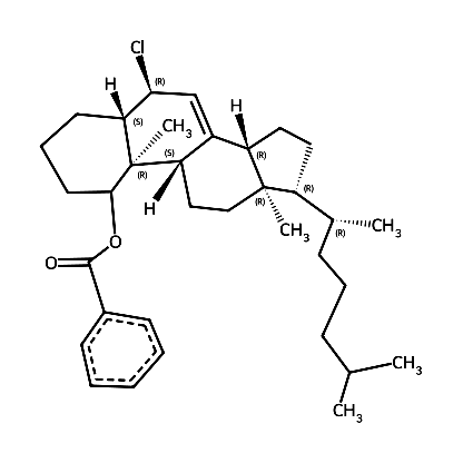 CC(C)CCC[C@@H](C)[C@H]1CC[C@H]2C3=C[C@H](Cl)[C@H]4CCCC(OC(=O)c5ccccc5)[C@]4(C)[C@H]3CC[C@]12C